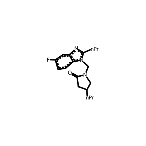 CCCc1nc2cc(F)ccc2n1CN1CC(CCC)CC1=O